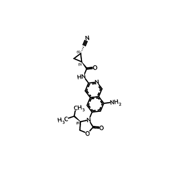 CC(C)[C@@H]1COC(=O)N1c1cc(N)c2cnc(NC(=O)[C@H]3C[C@@H]3C#N)cc2c1